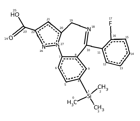 C[Si](C)(C)c1ccc2c(c1)C(c1ccccc1F)=NCc1cc(C(=O)O)nn1-2